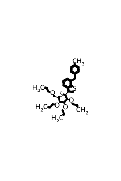 C=CCOC[C@H]1S[C@@H](c2csc3c(Cc4ccc(C)cc4)cccc23)[C@H](OCC=C)[C@@H](OCC=C)[C@@H]1OCC=C